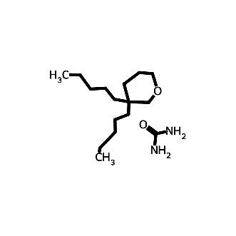 CCCCCC1(CCCCC)CCCOC1.NC(N)=O